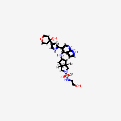 O=S(=O)(NCCO)N1C[C@H]2CC(Nc3c(-c4ncc(C5(O)CCOCC5)[se]4)cnc4[nH]ccc34)C[C@H]2C1